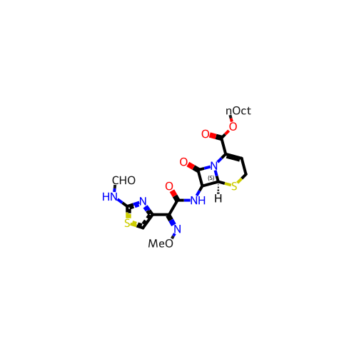 CCCCCCCCOC(=O)C1=CCS[C@H]2C(NC(=O)C(=NOC)c3csc(NC=O)n3)C(=O)N12